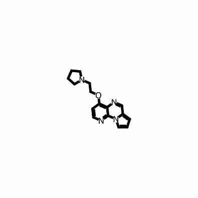 c1cc2cnc3c(OCCN4CCCC4)ccnc3n2c1